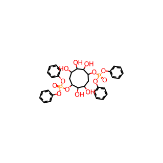 O=P(Oc1ccccc1)(Oc1ccccc1)OC1CC(O)C(O)C(O)C(OP(=O)(Oc2ccccc2)Oc2ccccc2)CC(O)C1O